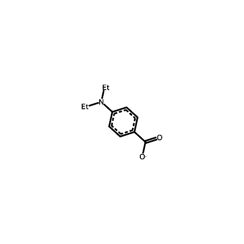 CCN(CC)c1ccc(C([O])=O)cc1